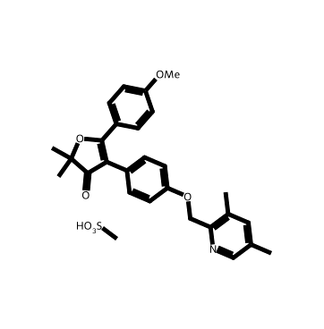 COc1ccc(C2=C(c3ccc(OCc4ncc(C)cc4C)cc3)C(=O)C(C)(C)O2)cc1.CS(=O)(=O)O